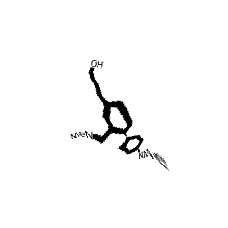 CNCc1cc(CCCO)ccc1[C@H]1CC[C@H](NC)CC1